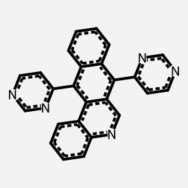 c1ccc2c(c1)ncc1c(-c3ccncn3)c3ccccc3c(-c3ccncn3)c12